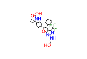 O=C(O)NC1(c2ccc(-c3oc4nc(NCCO)nc(C(F)(F)F)c4c3-c3ccccc3)cc2)CCC1